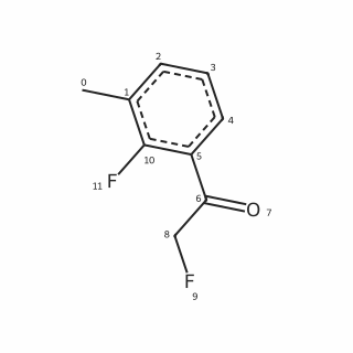 Cc1cccc(C(=O)CF)c1F